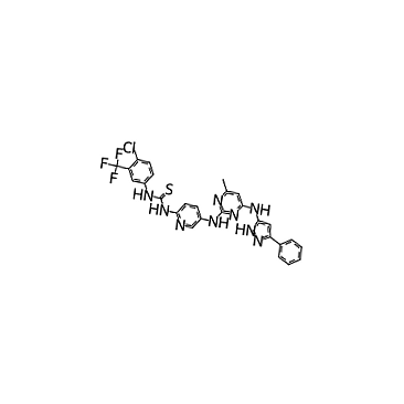 Cc1cc(Nc2cc(-c3ccccc3)n[nH]2)nc(Nc2ccc(NC(=S)Nc3ccc(Cl)c(C(F)(F)F)c3)nc2)n1